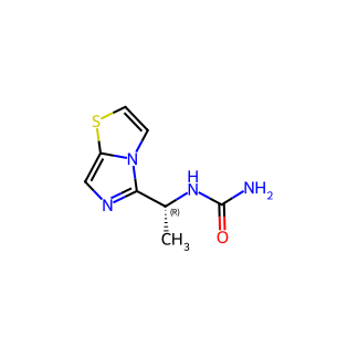 C[C@@H](NC(N)=O)c1ncc2sccn12